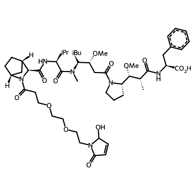 CC[C@H](C)[C@@H]([C@@H](CC(=O)N1CCC[C@H]1[C@H](OC)[C@@H](C)C(=O)N[C@@H](Cc1ccccc1)C(=O)O)OC)N(C)C(=O)[C@@H](NC(=O)[C@@H]1[C@H]2CC[C@H](C2)N1C(=O)CCOCCOCCN1C(=O)C=CC1O)C(C)C